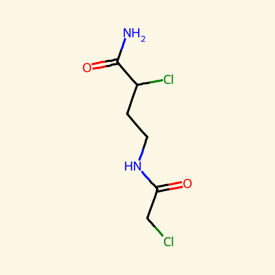 NC(=O)C(Cl)CCNC(=O)CCl